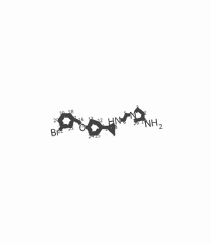 NC1CCN(CCNC2CC2c2ccc(OCc3cccc(Br)c3)cc2)C1